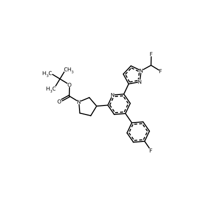 CC(C)(C)OC(=O)N1CCC(c2cc(-c3ccc(F)cc3)cc(-c3ccn(C(F)F)n3)n2)C1